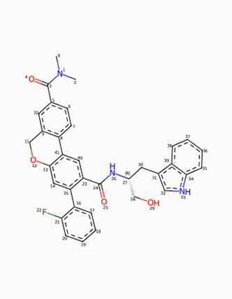 CN(C)C(=O)c1ccc2c(c1)COc1cc(-c3ccccc3F)c(C(=O)N[C@@H](CO)Cc3c[nH]c4ccccc34)cc1-2